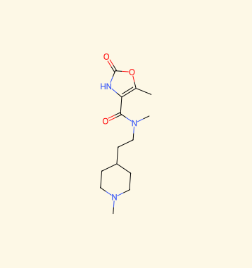 Cc1oc(=O)[nH]c1C(=O)N(C)CCC1CCN(C)CC1